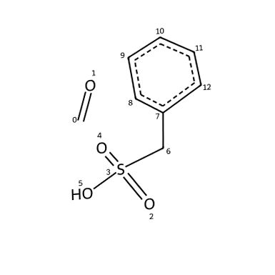 C=O.O=S(=O)(O)Cc1ccccc1